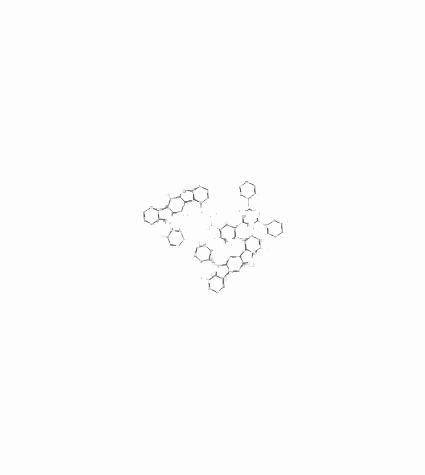 c1ccc(-c2nc(-c3ccccc3)nc(-c3cc(CCCc4cccc5sc6cc7c8ccccc8n(-c8ccccc8)c7cc6c45)cnc3-c3cccc4sc5cc6c7ccccc7n(-c7ccccc7)c6cc5c34)n2)cc1